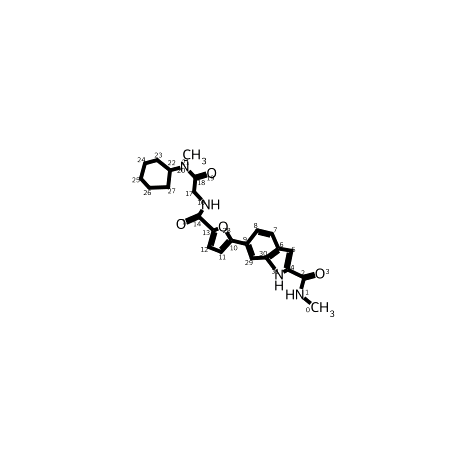 CNC(=O)c1cc2ccc(-c3ccc(C(=O)NCC(=O)N(C)C4CCCCC4)o3)cc2[nH]1